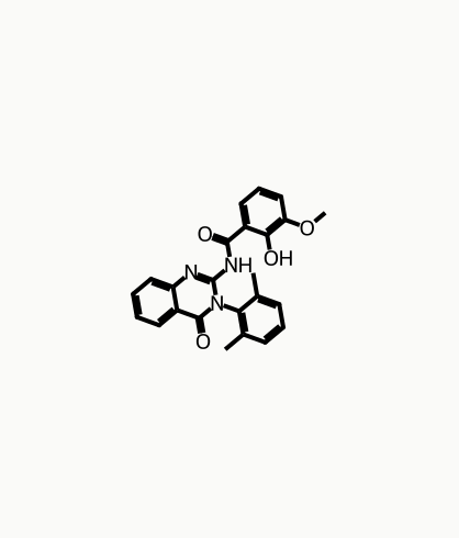 COc1cccc(C(=O)Nc2nc3ccccc3c(=O)n2-c2c(C)cccc2C)c1O